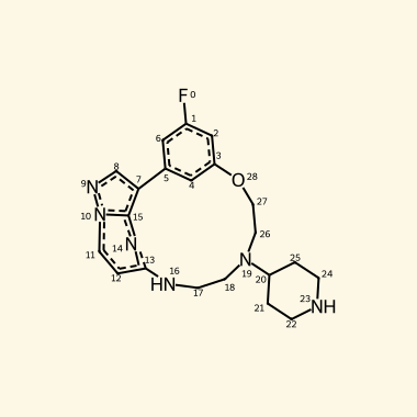 Fc1cc2cc(c1)-c1cnn3ccc(nc13)NCCN(C1CCNCC1)CCO2